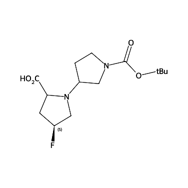 CC(C)(C)OC(=O)N1CCC(N2C[C@@H](F)CC2C(=O)O)C1